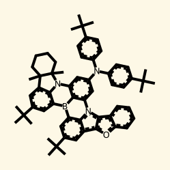 CC(C)(C)c1ccc(N(c2ccc(C(C)(C)C)cc2)c2cc3c4c(c2)-n2c5c(cc(C(C)(C)C)cc5c5oc6ccccc6c52)B4c2cc(C(C)(C)C)cc4c2N3C2(C)CCCCC42C)cc1